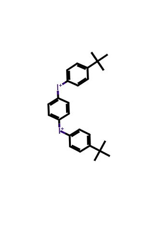 CC(C)(C)c1ccc([I+]c2ccc([I+]c3ccc(C(C)(C)C)cc3)cc2)cc1